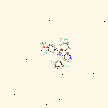 COc1ncc(C(=O)Nc2c(-c3cc(F)ccc3F)cncc2C2CCC(F)(F)CC2)cc1F